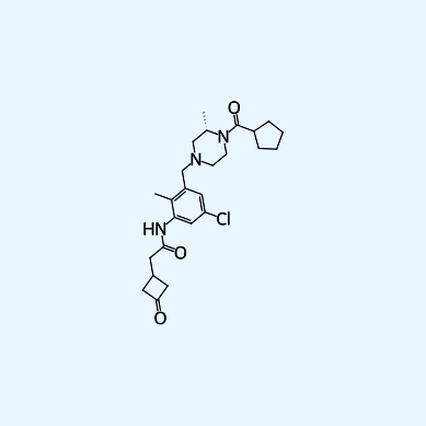 Cc1c(CN2CCN(C(=O)C3CCCC3)[C@@H](C)C2)cc(Cl)cc1NC(=O)CC1CC(=O)C1